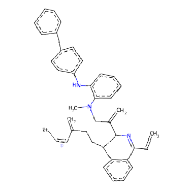 C=CC1=NC(C(=C)CN(C)c2ccccc2Nc2ccc(-c3ccccc3)cc2)C(CCC(=C)/C=C\CC)c2ccccc21